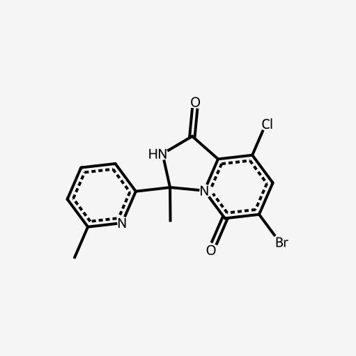 Cc1cccc(C2(C)NC(=O)c3c(Cl)cc(Br)c(=O)n32)n1